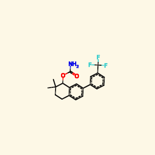 CC1(C)CCc2ccc(-c3cccc(C(F)(F)F)c3)cc2C1OC(N)=O